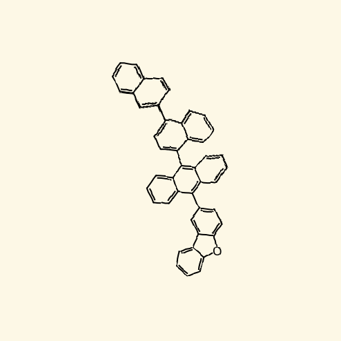 c1ccc2cc(-c3ccc(-c4c5ccccc5c(-c5ccc6oc7ccccc7c6c5)c5ccccc45)c4ccccc34)ccc2c1